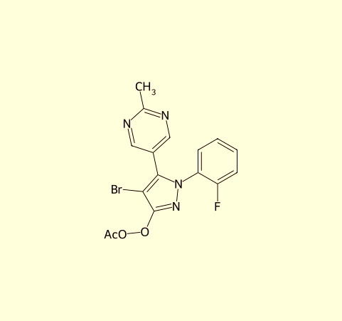 CC(=O)OOc1nn(-c2ccccc2F)c(-c2cnc(C)nc2)c1Br